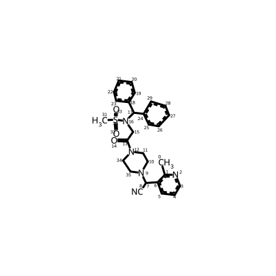 Cc1ncccc1C(C#N)N1CCN(C(=O)CN(C(c2ccccc2)c2ccccc2)S(C)(=O)=O)CC1